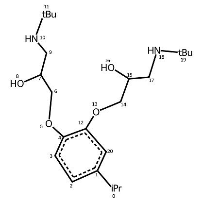 CC(C)c1ccc(OCC(O)CNC(C)(C)C)c(OCC(O)CNC(C)(C)C)c1